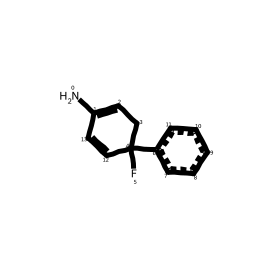 NC1=CCC(F)(c2ccccc2)C=C1